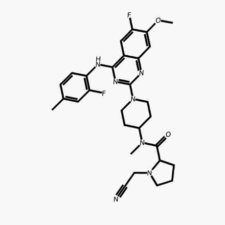 COc1cc2nc(N3CCC(N(C)C(=O)C4CCCN4CC#N)CC3)nc(Nc3ccc(C)cc3F)c2cc1F